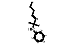 CCC/C=C/C(C)(C)Nc1ccccc1